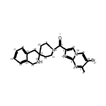 Cc1nc2nc(C(=O)N3CCC4(CC3)Cc3ccccc3CN4)cn2cc1Br